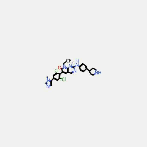 Cn1cncc1-c1cc(Cl)c(-c2cc3cnc(Nc4ccc(C5CCNCC5)cc4)nc3n(CC(F)(F)F)c2=O)c(Cl)c1